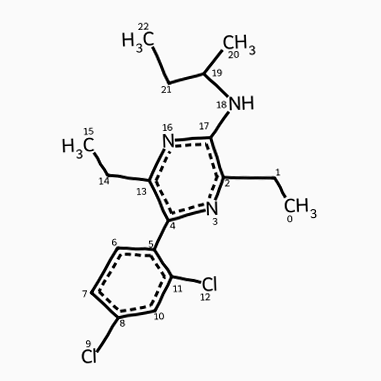 CCc1nc(-c2ccc(Cl)cc2Cl)c(CC)nc1NC(C)CC